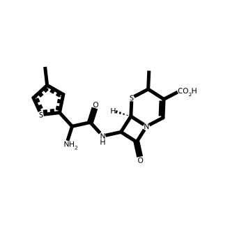 Cc1csc(C(N)C(=O)NC2C(=O)N3C=C(C(=O)O)C(C)S[C@H]23)c1